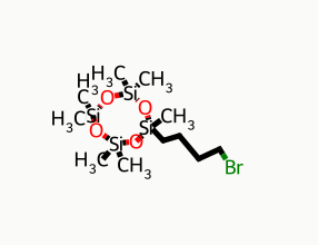 C[Si]1(C)O[Si](C)(C)O[Si](C)(CCCCBr)O[Si](C)(C)O1